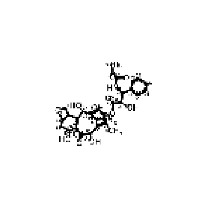 CC1=C2[C@@H](O)C(=O)C3(C)C(C4COC4C[C@@H]3O)[C@H](O)[C@](O)(C[C@@H]1OC(=O)[C@H](O)[C@@H](NC(=O)OC(C)(C)C)c1ccccc1)C2(C)C